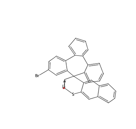 Brc1ccc2c(c1)C1(c3ccccc3Sc3cc4ccccc4cc31)c1ccccc1-c1ccccc1-2